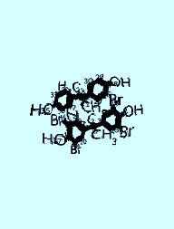 CC(C)(c1cc(Br)c(O)c(Br)c1)c1cc(Br)c(O)c(Br)c1.CC(C)(c1ccc(O)cc1)c1ccc(O)cc1